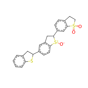 O=S1(=O)CCc2ccc(C3Cc4cc(C5Cc6ccccc6S5)ccc4[S+]3[O-])cc21